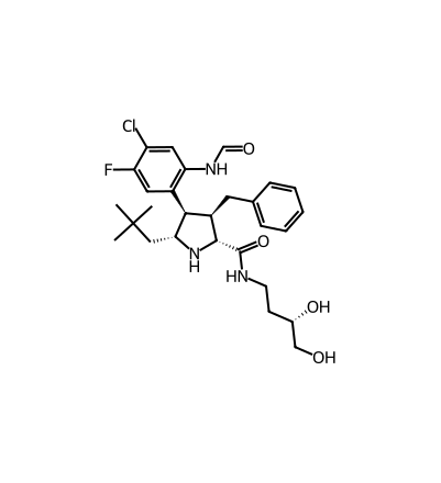 CC(C)(C)C[C@H]1N[C@@H](C(=O)NCC[C@H](O)CO)[C@H](Cc2ccccc2)[C@@H]1c1cc(F)c(Cl)cc1NC=O